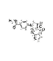 NC(=O)c1ccc(N2CCC3(O)C(=O)c4ccsc4N=C23)cc1